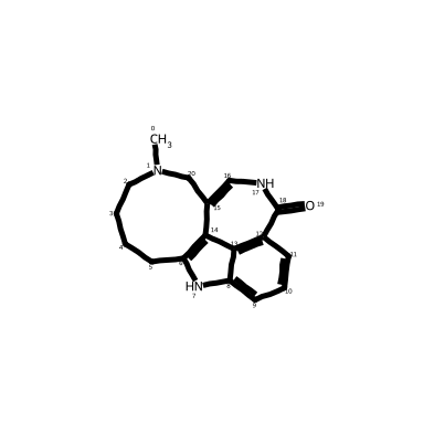 CN1CCCCc2[nH]c3cccc4c3c2C(=CNC4=O)C1